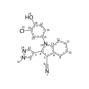 Cn1cc(-c2c(C#N)c3ccccc3n2-c2ccc(O)c(Cl)c2)cn1